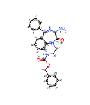 NC1N=C(c2ccccc2)c2cccc3c2N(CCN3C(=O)OCc2ccccc2)C1=O